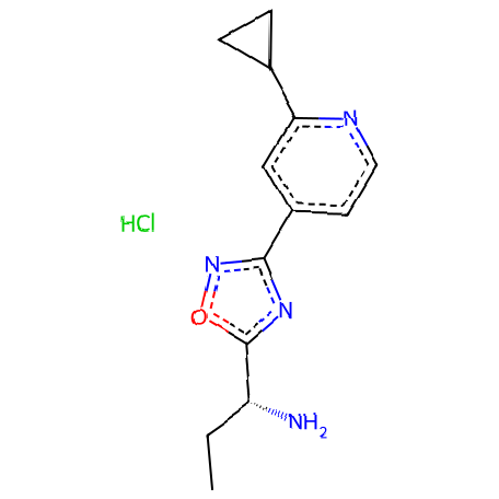 CC[C@@H](N)c1nc(-c2ccnc(C3CC3)c2)no1.Cl